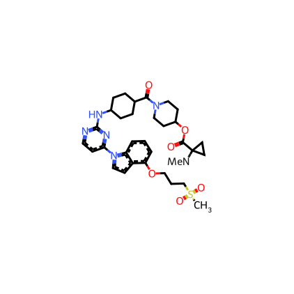 CNC1(C(=O)OC2CCN(C(=O)C3CCC(Nc4nccc(-n5ccc6c(OCCCS(C)(=O)=O)cccc65)n4)CC3)CC2)CC1